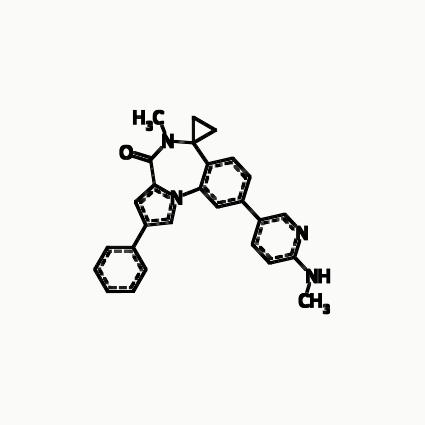 CNc1ccc(-c2ccc3c(c2)-n2cc(-c4ccccc4)cc2C(=O)N(C)C32CC2)cn1